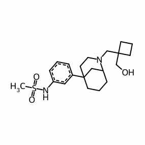 CS(=O)(=O)Nc1cccc(C23CCCC(C2)N(CC2(CO)CCC2)CC3)c1